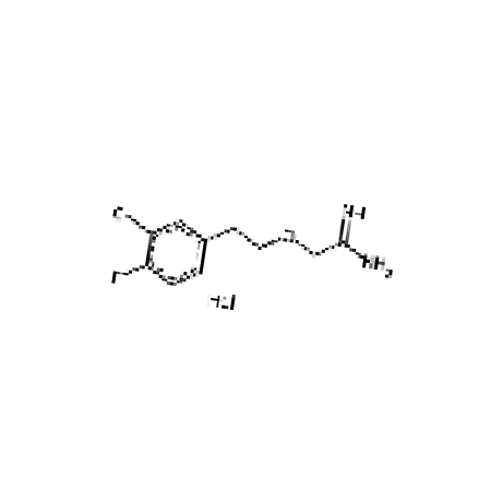 Cl.N=C(N)COCCc1ccc(F)c(Cl)c1